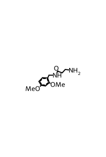 COc1ccc(CNC(=O)CCN)c(OC)c1